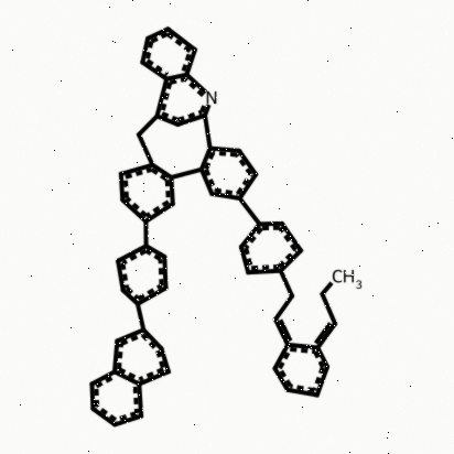 CC/C=c1/cccc/c1=C/Cc1ccc(-c2ccc3c(c2)-c2cc(-c4ccc(-c5ccc6ccccc6c5)cc4)ccc2Cc2cc-3nc3ccccc23)cc1